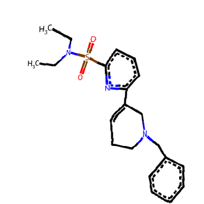 CCN(CC)S(=O)(=O)c1cccc(C2=CCCN(Cc3ccccc3)C2)n1